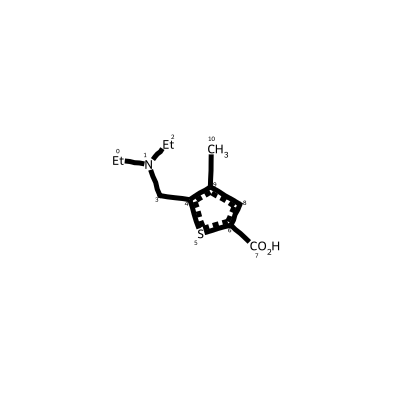 CCN(CC)Cc1sc(C(=O)O)cc1C